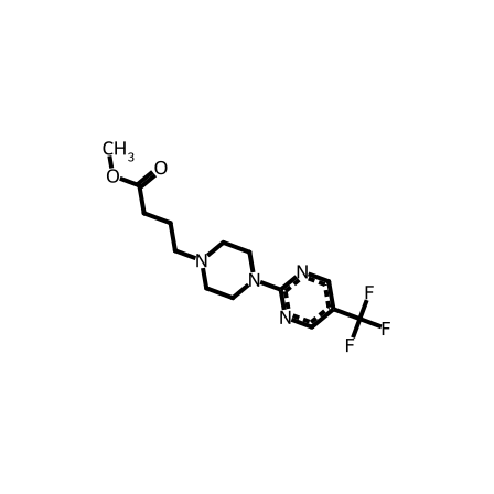 COC(=O)CCCN1CCN(c2ncc(C(F)(F)F)cn2)CC1